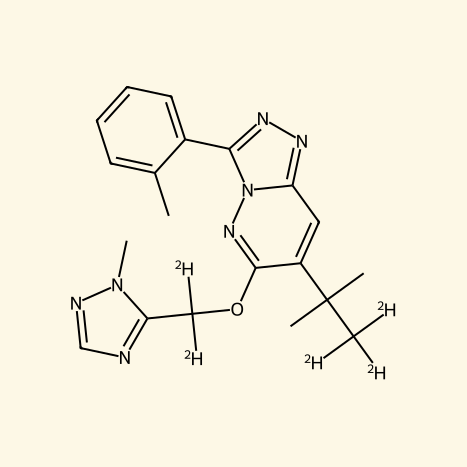 [2H]C([2H])(Oc1nn2c(-c3ccccc3C)nnc2cc1C(C)(C)C([2H])([2H])[2H])c1ncnn1C